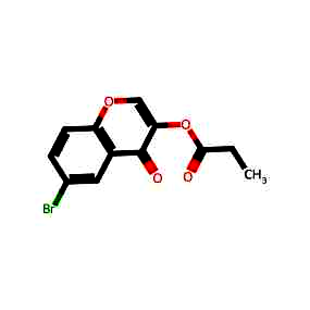 CCC(=O)Oc1coc2ccc(Br)cc2c1=O